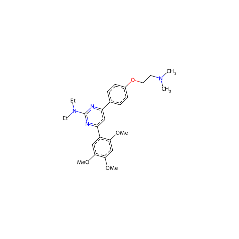 CCN(CC)c1nc(-c2ccc(OCCN(C)C)cc2)cc(-c2cc(OC)c(OC)cc2OC)n1